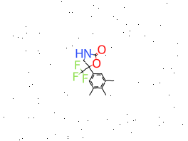 Cc1cc(C2(C(F)(F)F)CNC(=O)O2)cc(C)c1C